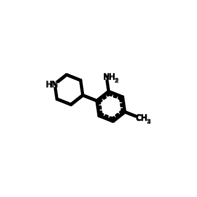 Cc1ccc(C2CCNCC2)c(N)c1